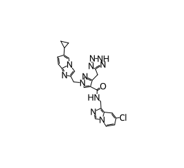 O=C(NCc1ncn2ccc(Cl)cc12)c1cn(Cc2cn3cc(C4CC4)ccc3n2)nc1Cc1nn[nH]n1